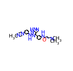 CN(C)C/C=C/C(=O)Nc1cccc(-c2nc(Nc3cccc(N4CCN(C)CC4)c3)nc3[nH]ncc23)c1